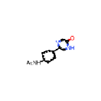 CC(=O)Nc1ccc(-c2c[nH]c(=O)cn2)cc1